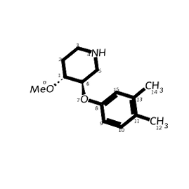 CO[C@@H]1CCNC[C@H]1Oc1ccc(C)c(C)c1